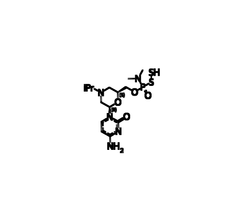 CC(C)N1C[C@@H](COP(=O)(SS)N(C)C)O[C@@H](n2ccc(N)nc2=O)C1